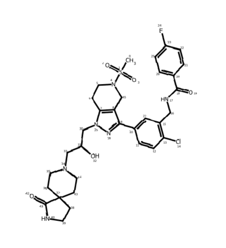 CS(=O)(=O)N1CCc2c(c(-c3ccc(Cl)c(CNC(=O)c4ccc(F)cc4)c3)nn2CC(O)CN2CCC3(CCNC3=O)CC2)C1